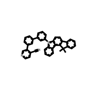 CC1(C)c2ccccc2-c2ccc3c(c21)c1ccccc1n3-c1cccc(-c2cccc(-c3cnccc3C#N)c2)c1